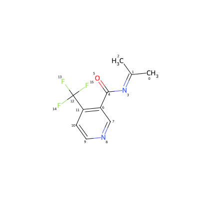 CC(C)=NC(=O)c1cnccc1C(F)(F)F